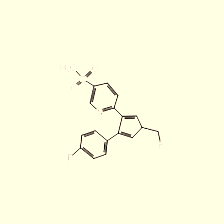 CS(=O)(=O)c1ccc(C2=CC(CF)C=C2c2ccc(F)cc2)nc1